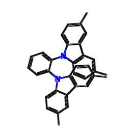 Cc1ccc2c(c1)c1cc(C)ccc1n2-c1ccccc1-n1c2ccc(C)cc2c2cc(C)ccc21